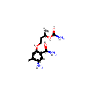 Cc1cc(OCCC(OC(N)=O)C(C)(C)C)c(C(N)=O)cc1N